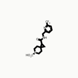 O=C(NCc1cccc(C(F)(F)F)n1)C1CC12CCN(C(=O)O)CC2